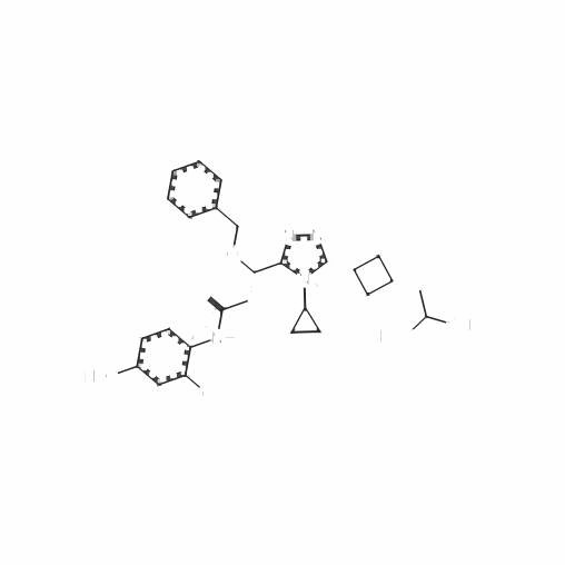 Cc1ccc(NC(=O)C[C@H](OCc2ccccc2)c2nnc([C@H]3C[C@@H](CC(C)C)C3)n2C2CC2)c(C)c1